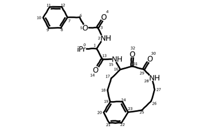 CC(C)C(NC(=O)OCc1ccccc1)C(=O)NC1CCc2cccc(c2)CCCNC(=O)C1=O